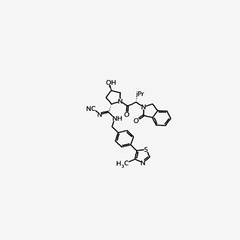 Cc1ncsc1-c1ccc(CN/C(=N/C#N)[C@@H]2C[C@@H](O)CN2C(=O)[C@H](C(C)C)N2Cc3ccccc3C2=O)cc1